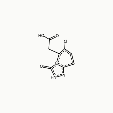 O=C(O)Cc1c(Cl)ccc2n[nH]c(=O)n12